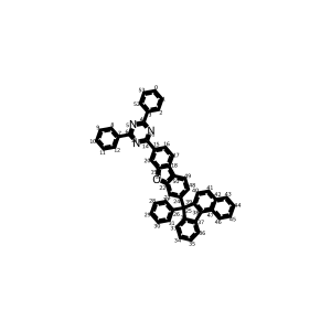 c1ccc(-c2nc(-c3ccccc3)nc(-c3ccc4c(c3)oc3cc(C5(c6ccccc6)c6ccccc6-c6c5ccc5ccccc65)ccc34)n2)cc1